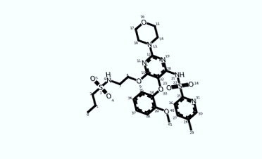 CCCS(=O)(=O)NCCOc1nc(N2CCOCC2)nc(NS(=O)(=O)c2ccc(C)cn2)c1Oc1ccccc1OC